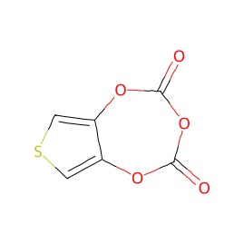 O=C1OC(=O)Oc2cscc2O1